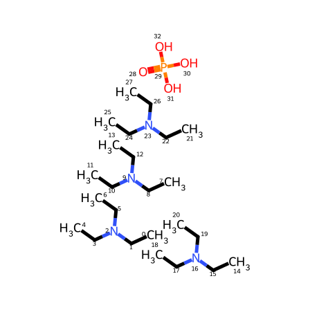 CCN(CC)CC.CCN(CC)CC.CCN(CC)CC.CCN(CC)CC.O=P(O)(O)O